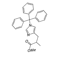 COC(=O)C(C)Cc1cn(C(c2ccccc2)(c2ccccc2)c2ccccc2)cn1